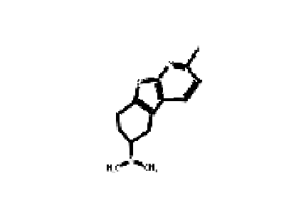 CN(C)C1CCc2oc3nc(I)ccc3c2C1